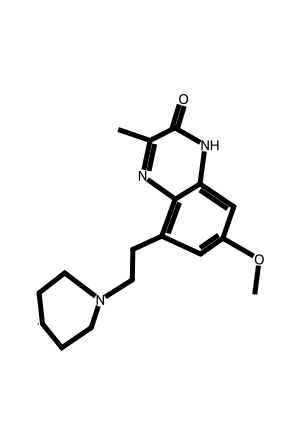 COc1cc(CCN2CC[CH]CC2)c2nc(C)c(=O)[nH]c2c1